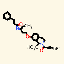 CCCC#CC(=O)N1CCc2ccc(OCCc3nc(C=Cc4ccccc4)oc3C)cc2C1C(=O)O